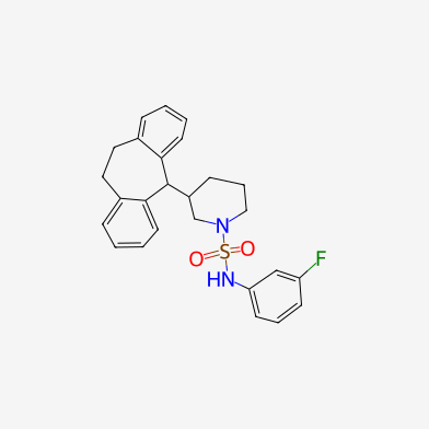 O=S(=O)(Nc1cccc(F)c1)N1CCCC(C2c3ccccc3CCc3ccccc32)C1